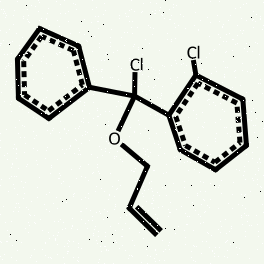 C=CCOC(Cl)(c1ccccc1)c1ccccc1Cl